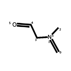 C=[N+](C)CC=O